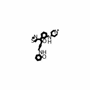 COc1ccccc1NCC#Cc1oc2c(NC3CCN(C)CC3)cccc2c1-c1cscn1